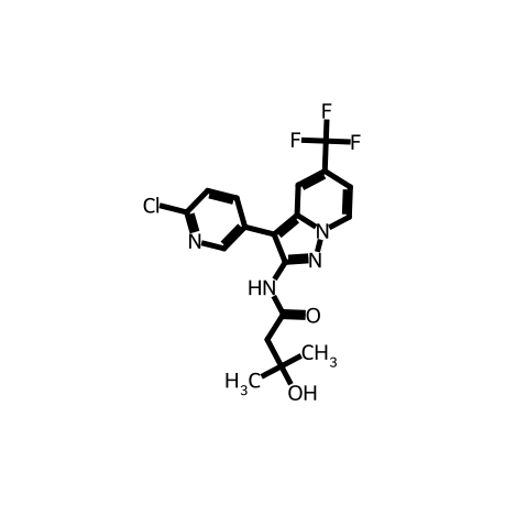 CC(C)(O)CC(=O)Nc1nn2ccc(C(F)(F)F)cc2c1-c1ccc(Cl)nc1